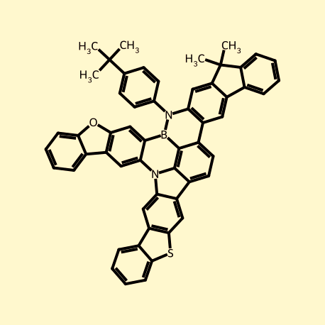 CC(C)(C)c1ccc(N2B3c4cc5oc6ccccc6c5cc4-n4c5cc6c(cc5c5ccc(c3c54)-c3cc4c(cc32)C(C)(C)c2ccccc2-4)sc2ccccc26)cc1